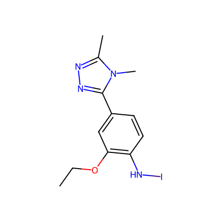 CCOc1cc(-c2nnc(C)n2C)ccc1NI